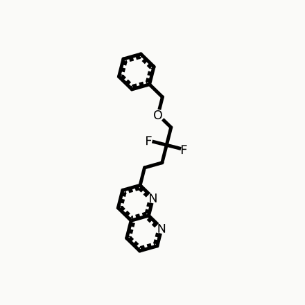 FC(F)(CCc1ccc2cccnc2n1)COCc1ccccc1